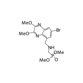 COc1nc2cc(Br)cc(CNCP(=O)(OC)OC)c2nc1OC